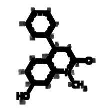 Cn1c(=O)cc(-c2ccccc2)c2ccc(O)cc21